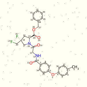 Cc1ccc(Oc2ccc(C(=O)NCC(=O)N3C[C@@](F)(CF)C[C@H]3C(=O)OCc3ccccc3)cc2)cc1